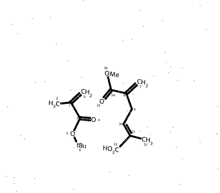 C=C(C)C(=O)OC(C)(C)C.C=C(CC=C(C)C(=O)O)C(=O)OC